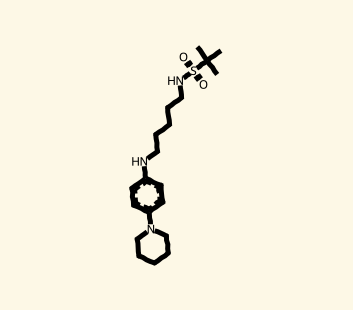 CC(C)(C)S(=O)(=O)NCCCCCNc1ccc(N2CCCCC2)cc1